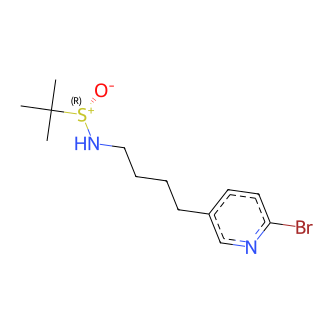 CC(C)(C)[S@+]([O-])NCCCCc1ccc(Br)nc1